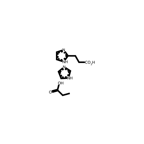 CCC(=O)O.O=C(O)CCc1ncc[nH]1.c1c[nH]cn1